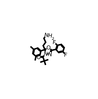 Cc1cc(C)cc(C2(CCCN)OC(c3cc(F)ccc3F)=NN2C(=O)C(C)(C)C)c1